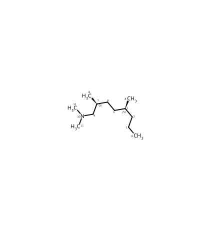 CCC[C@H](C)CC[C@H](C)CN(C)C